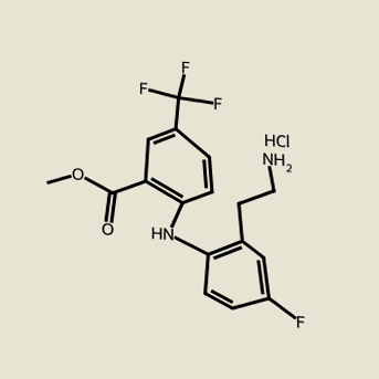 COC(=O)c1cc(C(F)(F)F)ccc1Nc1ccc(F)cc1CCN.Cl